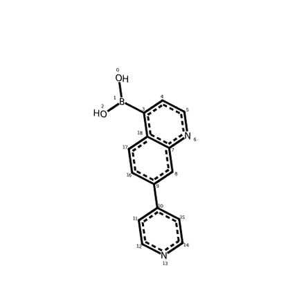 OB(O)c1ccnc2cc(-c3ccncc3)ccc12